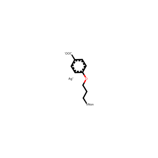 CCCCCCCCCCCCOc1ccc(C(=O)[O-])cc1.[Ag+]